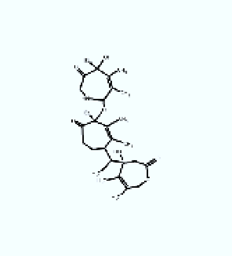 CC[C@]1(O)C(=O)CNC(O[C@@]2(CC)C(=O)CCC(C(C)[C@]3(O)CC(=O)OCC(C)=C3C)C(C)=C2C)C(C)=C1C